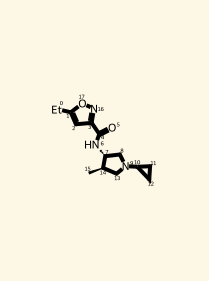 CCc1cc(C(=O)N[C@@H]2CN(C3CC3)C[C@H]2C)no1